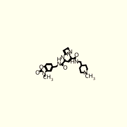 CN1CCC(CNC(=O)c2cc(C(=O)NCc3ccc4oc(=O)n(C)c4c3)nc3ccnn23)CC1